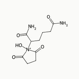 NC(=O)CCCC(C(N)=O)[N+]1(O)C(=O)CCC1=O